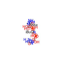 C=CN(c1nc(N)[nH]c(=O)c1NC)[C@@H]1OC(COP(=O)(O)OCCN(CCOP(=O)(O)OCC2C[C@@H](O)C(n3cnc4c(=O)[nH]c(N)nc43)O2)C(=O)OCC(C)C)C(O)C1O